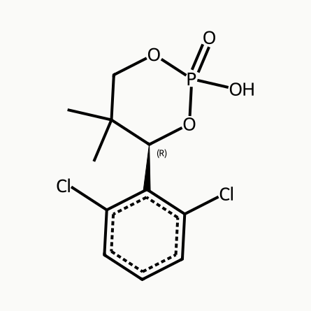 CC1(C)COP(=O)(O)O[C@H]1c1c(Cl)cccc1Cl